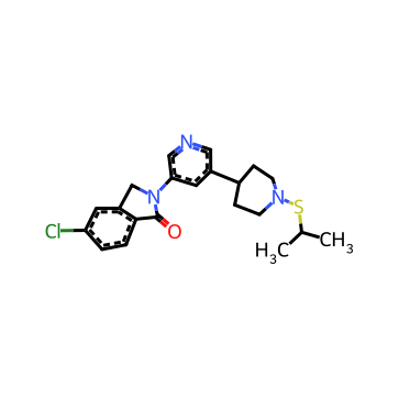 CC(C)SN1CCC(c2cncc(N3Cc4cc(Cl)ccc4C3=O)c2)CC1